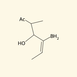 B/C(=C/C)C(O)C(C)C(C)=O